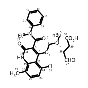 CCCCOCOc1c(C(=O)N(CC)c2ccccc2)c(=O)[nH]c2c(C)ccc(Cl)c12.O=CCCC(=O)O